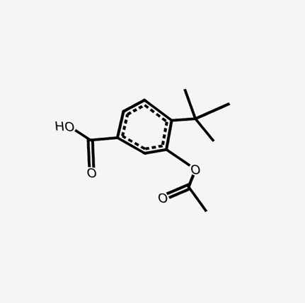 CC(=O)Oc1cc(C(=O)O)ccc1C(C)(C)C